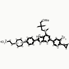 COCC(C)(C)CN(C)c1cc(-c2cnc(C3CC3)c(C(F)(F)F)c2)nc2nc(-c3ccc(N4CCN(CCC(=O)O)CC4)cc3)[nH]c12